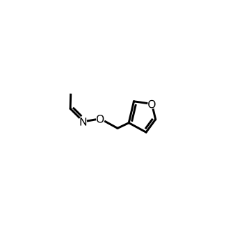 C/C=N\OCc1ccoc1